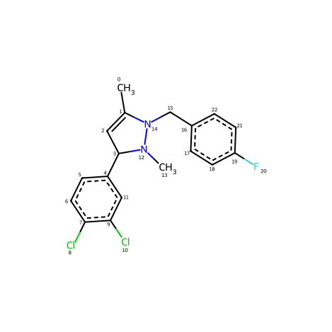 CC1=CC(c2ccc(Cl)c(Cl)c2)N(C)N1Cc1ccc(F)cc1